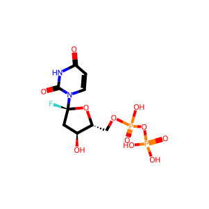 O=c1ccn([C@@]2(F)C[C@H](O)[C@@H](COP(=O)(O)OP(=O)(O)O)O2)c(=O)[nH]1